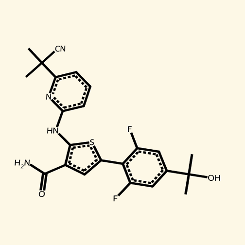 CC(C)(O)c1cc(F)c(-c2cc(C(N)=O)c(Nc3cccc(C(C)(C)C#N)n3)s2)c(F)c1